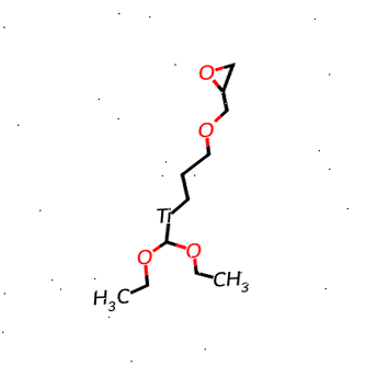 CCO[CH](OCC)[Ti][CH2]CCOCC1CO1